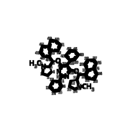 CN1CCC[C@H]1[C@@H](Oc1nc(-c2ccccc2)nc(O[C@@H](c2cccc3ccccc23)[C@@H]2CCCN2C)c1-c1ccccc1)c1cccc2ccccc12